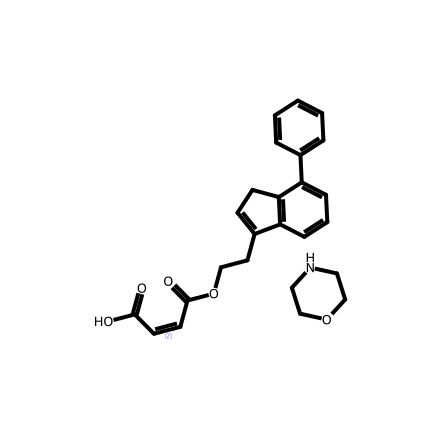 C1COCCN1.O=C(O)/C=C\C(=O)OCCC1=CCc2c1cccc2-c1ccccc1